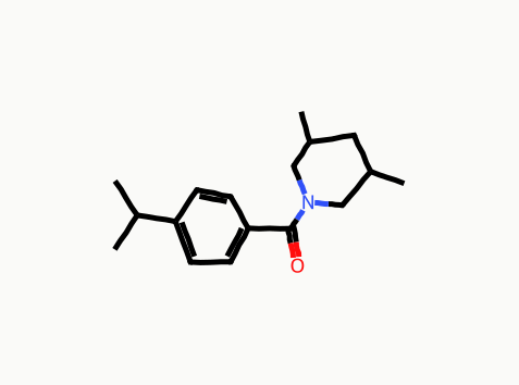 CC1CC(C)CN(C(=O)c2ccc(C(C)C)cc2)C1